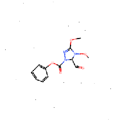 COC1=NN(C(=O)Oc2ccccc2)C(C=O)N1OC